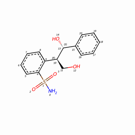 NS(=O)(=O)c1ccccc1[C@H](CO)[C@H](O)c1ccccc1